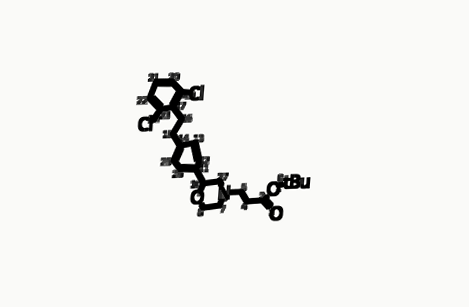 CC(C)(C)OC(=O)CCN1CCOC(c2ccc(CCc3c(Cl)cccc3Cl)cc2)C1